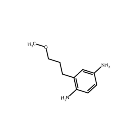 COCCCc1cc(N)ccc1N